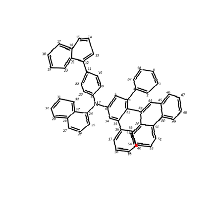 c1ccc(-c2cc(N(c3ccc(-c4cccc5ccccc45)cc3)c3cccc4ccccc34)cc(-c3ccccc3)c2-c2cc3ccccc3c3ccccc23)cc1